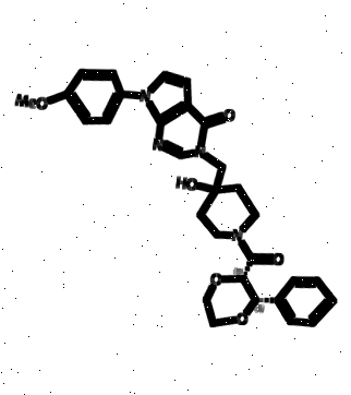 COc1ccc(-n2ccc3c(=O)n(CC4(O)CCN(C(=O)[C@H]5OCCO[C@H]5c5ccccc5)CC4)cnc32)cc1